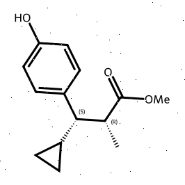 COC(=O)[C@H](C)[C@@H](c1ccc(O)cc1)C1CC1